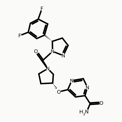 NC(=O)c1cc(O[C@@H]2CCN(C(=O)N3N=CC[C@H]3c3cc(F)cc(F)c3)C2)ncn1